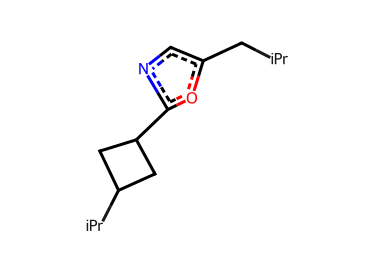 CC(C)Cc1cnc(C2CC(C(C)C)C2)o1